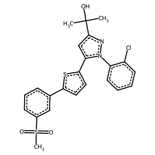 CC(C)(O)c1cc(-c2ccc(-c3cccc(S(C)(=O)=O)c3)s2)n(-c2ccccc2Cl)n1